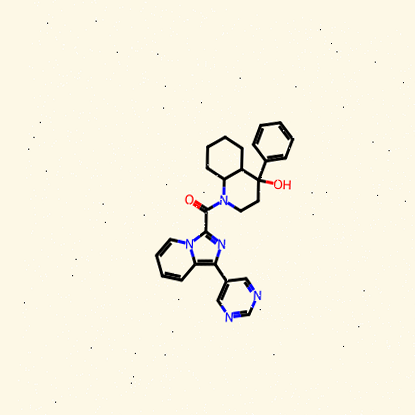 O=C(c1nc(-c2cncnc2)c2ccccn12)N1CCC(O)(c2ccccc2)C2CCCCC21